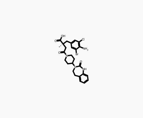 C[C@@](CC(=O)N1CCC(N2CCc3ccccc3NC2=O)CC1)(Cc1cc(Cl)c(N)c(Br)c1)C(=O)O